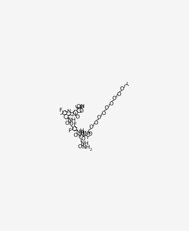 CC[C@@]1(O)C(=O)OCc2c1cc1n(c2=O)Cc2c-1nc1cc(F)c(C)c3c1c2[C@@H](NC(=O)OCc1c(F)cc(NC(=O)[C@H](CCCNC(N)=O)NC(=O)[C@@H](NC(=O)CCOCCOCCOCCOCCOCCOCCOCCOCCOCCC(C)C)C(C)C)cc1F)CC3